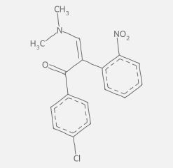 CN(C)C=C(C(=O)c1ccc(Cl)cc1)c1ccccc1[N+](=O)[O-]